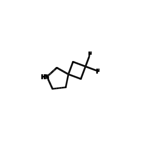 FC1(F)CC2(CCNC2)C1